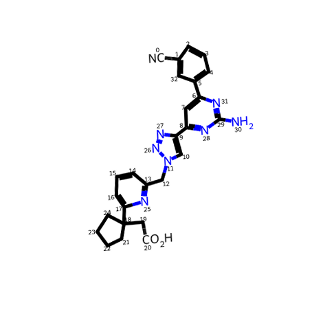 N#Cc1cccc(-c2cc(-c3cn(Cc4cccc(C5(CC(=O)O)CCCC5)n4)nn3)nc(N)n2)c1